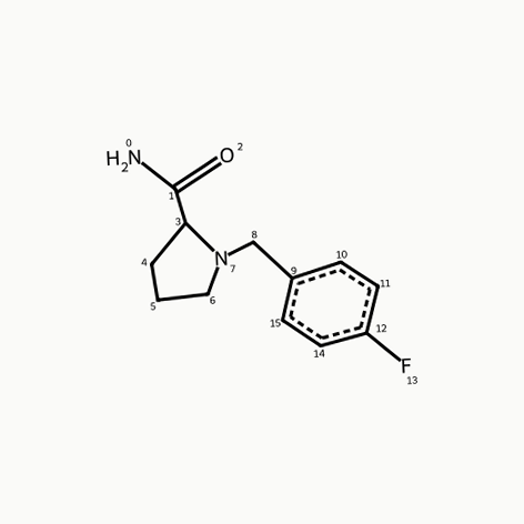 NC(=O)C1CCCN1Cc1ccc(F)cc1